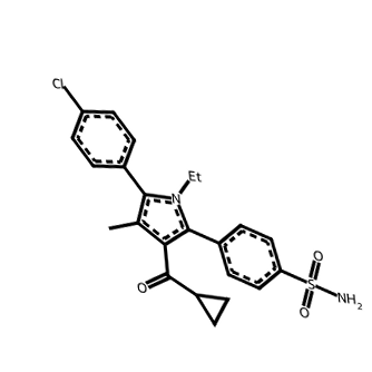 CCn1c(-c2ccc(Cl)cc2)c(C)c(C(=O)C2CC2)c1-c1ccc(S(N)(=O)=O)cc1